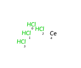 Cl.Cl.Cl.Cl.[Ce]